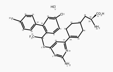 Cl.Nc1nc(OC(c2ccc(Cl)cc2-c2ccc(F)cc2)C(F)(F)F)cc(C2=CCC(C[C@H](N)C(=O)O)CC2)n1